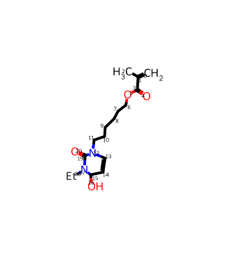 C=C(C)C(=O)OCCCCCCN1C=CC(O)N(CC)C1=O